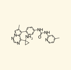 Cc1ccnc(NC(=O)Nc2ccc(-c3c(C)cn4ncnc(C5(N)CC5)c34)cc2)c1